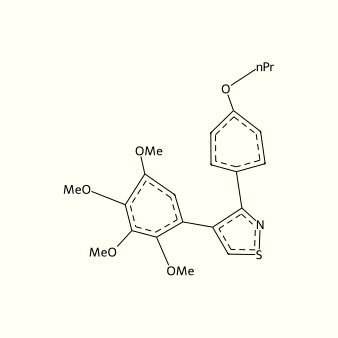 CCCOc1ccc(-c2nscc2-c2cc(OC)c(OC)c(OC)c2OC)cc1